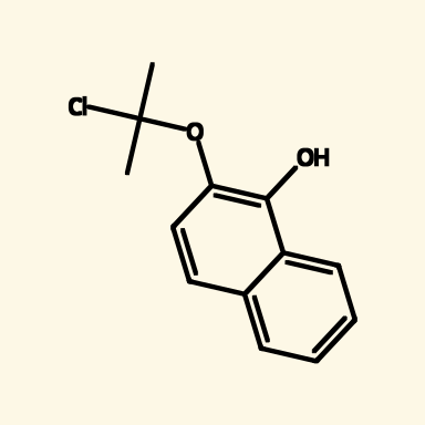 CC(C)(Cl)Oc1ccc2ccccc2c1O